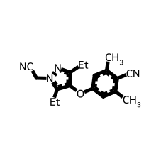 CCc1nn(CC#N)c(CC)c1Oc1cc(C)c(C#N)c(C)c1